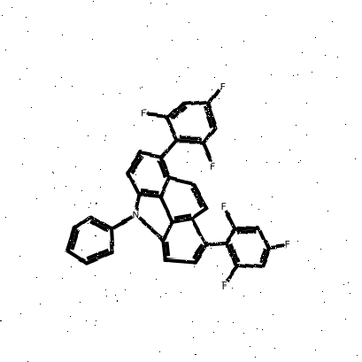 Fc1cc(F)c(-c2ccc3c4c2ccc2c(-c5c(F)cc(F)cc5F)ccc(c24)n3-c2ccccc2)c(F)c1